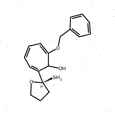 OC1C(OCc2ccccc2)=CC=CC=C1[C@]1([SiH3])CCCO1